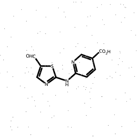 O=Cc1cnc(Nc2ccc(C(=O)O)cn2)s1